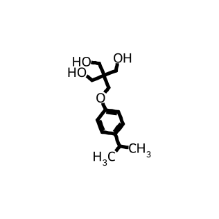 CC(C)c1ccc(OCC(CO)(CO)CO)cc1